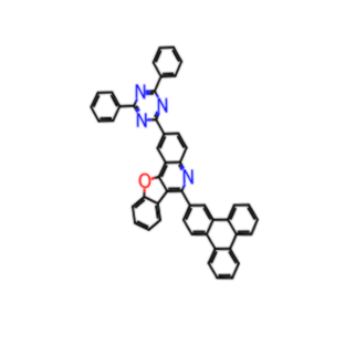 c1ccc(-c2nc(-c3ccccc3)nc(-c3ccc4nc(-c5ccc6c7ccccc7c7ccccc7c6c5)c5c6ccccc6oc5c4c3)n2)cc1